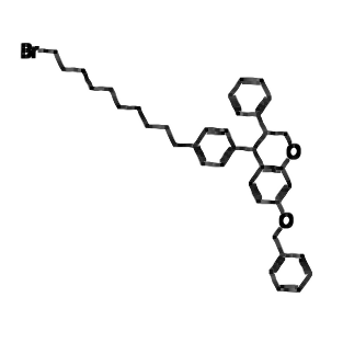 BrCCCCCCCCCCc1ccc(C2c3ccc(OCc4ccccc4)cc3OCC2c2ccccc2)cc1